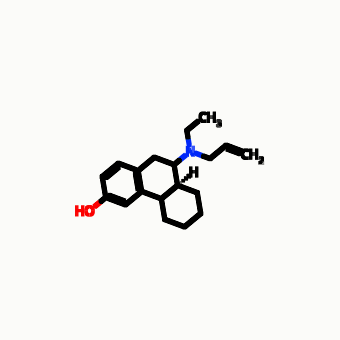 C=CCN(CC)C1Cc2ccc(O)cc2C2CCCC[C@@H]21